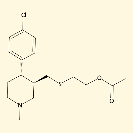 CC(=O)OCCSC[C@H]1CN(C)CC[C@@H]1c1ccc(Cl)cc1